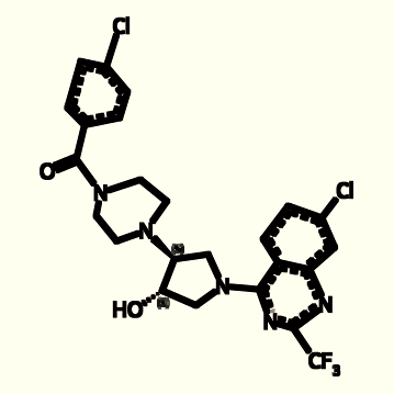 O=C(c1ccc(Cl)cc1)N1CCN([C@H]2CN(c3nc(C(F)(F)F)nc4cc(Cl)ccc34)C[C@@H]2O)CC1